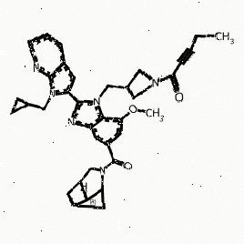 CCC#CC(=O)N1CC(Cn2c(-c3cc4cccnc4n3CC3CC3)nc3cc(C(=O)N4CC5CC6CC4[C@H]65)cc(OC)c32)C1